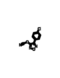 N#COc1nonc1-c1ccc(Cl)cc1